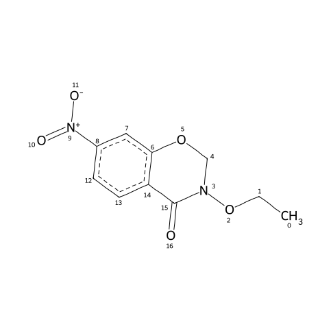 CCON1COc2cc([N+](=O)[O-])ccc2C1=O